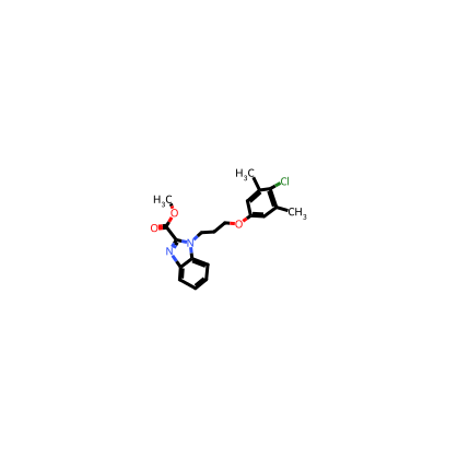 COC(=O)c1nc2ccccc2n1CCCOc1cc(C)c(Cl)c(C)c1